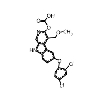 COCc1c(OC(=O)O)ncc2[nH]c3ccc(Oc4ccc(Cl)cc4Cl)cc3c12